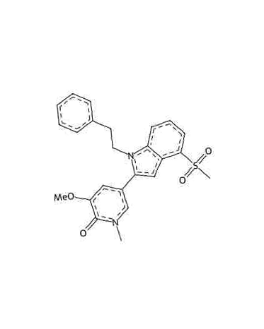 COc1cc(-c2cc3c(S(C)(=O)=O)cccc3n2CCc2ccccc2)cn(C)c1=O